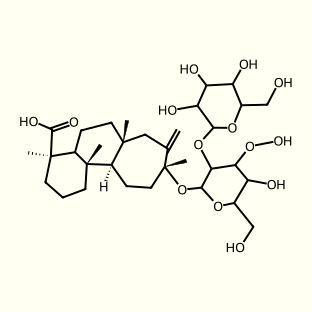 C=C1C[C@@]2(C)CCC3[C@](C)(C(=O)O)CCC[C@@]3(C)[C@@H]2CC[C@@]1(C)OC1OC(CO)C(O)C(OO)C1OC1OC(CO)C(O)C(O)C1O